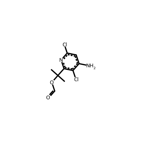 CC(C)(OC=O)c1nc(Cl)cc(N)c1Cl